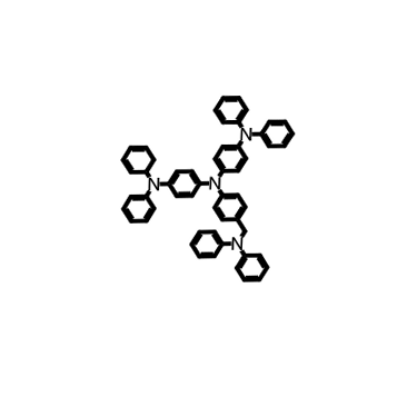 C1=CCC(N(c2ccccc2)c2ccc(N(c3ccc(CN(c4ccccc4)c4ccccc4)cc3)c3ccc(N(c4ccccc4)c4ccccc4)cc3)cc2)C=C1